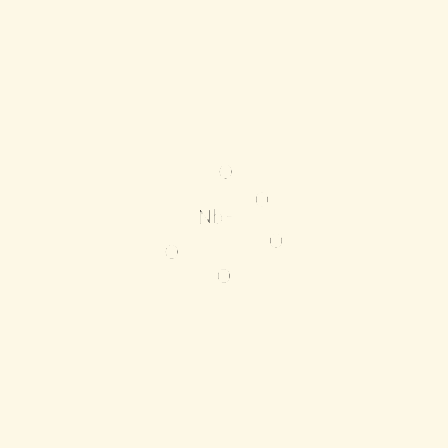 [O]=[Nb](=[O])(=[O])(=[O])=[O]